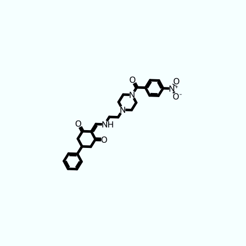 O=C1CC(c2ccccc2)CC(=O)C1=CNCCN1CCN(C(=O)c2ccc([N+](=O)[O-])cc2)CC1